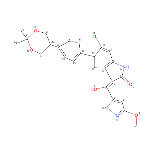 COc1cc(C(O)=C2C(=O)Nc3cc(Cl)c(-c4ccc(C5COC(C)(C)OC5)cc4)cc32)on1